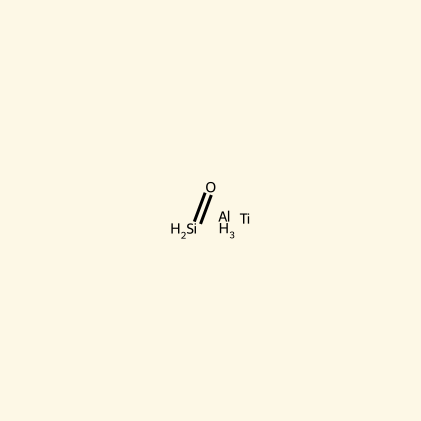 O=[SiH2].[AlH3].[Ti]